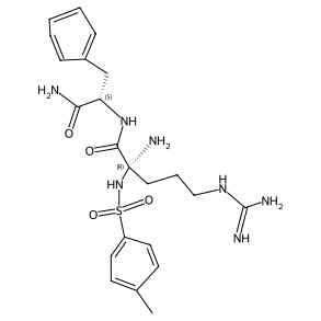 Cc1ccc(S(=O)(=O)N[C@](N)(CCCNC(=N)N)C(=O)N[C@@H](Cc2ccccc2)C(N)=O)cc1